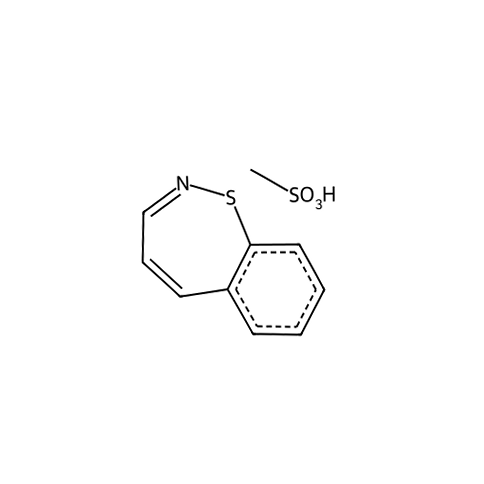 C1=Cc2ccccc2SN=C1.CS(=O)(=O)O